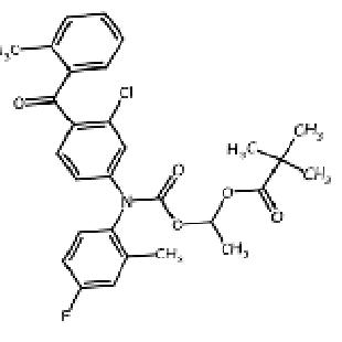 Cc1ccccc1C(=O)c1ccc(N(C(=O)OC(C)OC(=O)C(C)(C)C)c2ccc(F)cc2C)cc1Cl